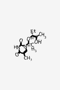 CC[C@@H](O[C@H](C)n1cc(C)c(=O)[nH]c1=O)[C@@H](C)O